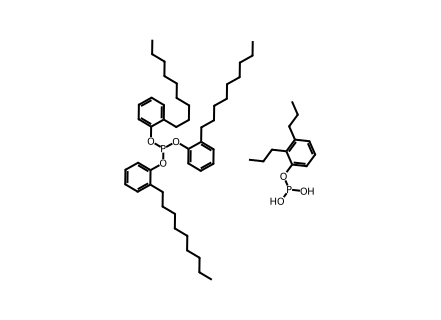 CCCCCCCCCc1ccccc1OP(Oc1ccccc1CCCCCCCCC)Oc1ccccc1CCCCCCCCC.CCCc1cccc(OP(O)O)c1CCC